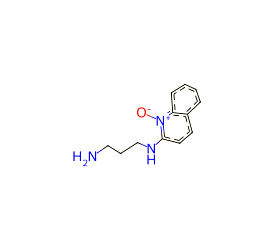 NCCCNc1ccc2ccccc2[n+]1[O-]